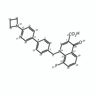 O=C(O)c1cn(Cc2ccc(-c3ccc(N4CCC4)nc3)cc2)c2c(F)cccc2c1=O